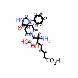 CC(N)(CCCCCC(=O)O)C(B(O)O)N1CCC2(CC1)C(=O)NCN2c1ccccc1